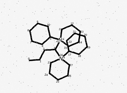 CCCC([N+]1(C2CCCCC2)CCCCC1)[N+]1(C2CCCCC2)CCCCC1